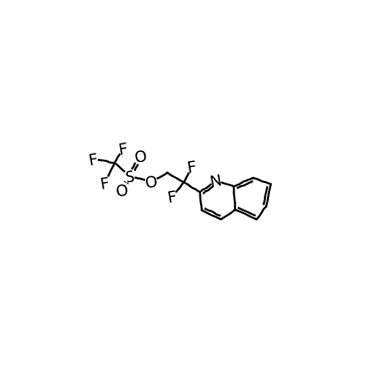 O=S(=O)(OCC(F)(F)c1ccc2ccccc2n1)C(F)(F)F